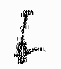 CSCC(NC(=O)CNC(=O)[C@H](CC(C)C)NC(=O)C1CCCN1C(=O)COCCNC(=O)[C@H](Cc1ccc(C(C)=O)cc1)NC(=O)COCCOCCN)C(=O)N[C@@H](C)C(=O)NCC(=O)NCCOCCOCC(=O)NCCOCCOCC(=O)N[C@H](CS)C(N)=O